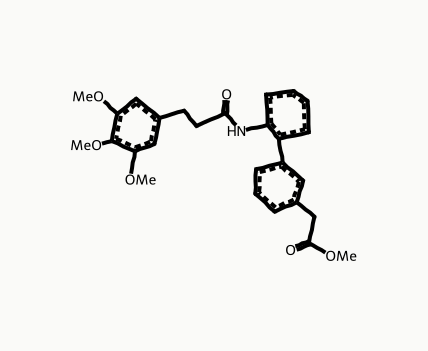 COC(=O)Cc1cccc(-c2ccccc2NC(=O)CCc2cc(OC)c(OC)c(OC)c2)c1